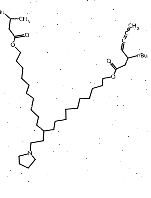 C=C=C=CC(CCCC)CC(=O)OCCCCCCCCCCC(CCCCCCCCCCOC(=O)CC(C)CCCC)CCN1CCCC1